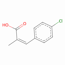 CC(=Cc1ccc(Cl)cc1)C(=O)O